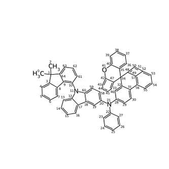 CC1(C)c2ccccc2-c2c(-n3c4ccccc4c4cc(N(c5ccccc5)c5ccc6c(c5)C5(c7ccccc7Oc7ccccc75)c5cccc7cccc-6c57)ccc43)cccc21